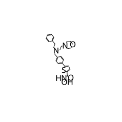 O=C(NO)c1ccc(-c2ccc(CN(CCc3ccccc3)CCN3CCOCC3)cc2)s1